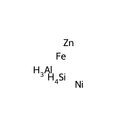 [AlH3].[Fe].[Ni].[SiH4].[Zn]